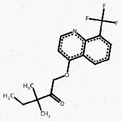 CCC(C)(C)C(=O)COc1ccnc2c(C(F)(F)F)cccc12